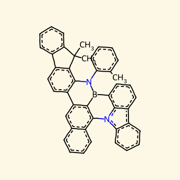 Cc1ccccc1N1B2c3c(cc4ccccc4c3-n3c4ccccc4c4cccc2c43)-c2ccc3c(c21)C(C)(C)c1ccccc1-3